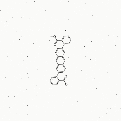 COC(=O)c1ccccc1-c1ccc2cc3cc(-c4ccccc4C(=O)OC)ccc3cc2c1